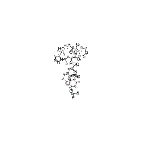 CC(C)(O)c1cnnn1[C@H]1C[C@@H](C(=O)NC2(C(=O)C(N)=O)CCOCC2)N(C(=O)/C(CC2CCCCC2)=N/S(=O)(=O)c2ccc(OC(F)F)cc2)C1